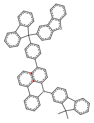 CC1(C)c2ccccc2-c2ccc(N(c3ccc(-c4ccc(C5(c6ccc7oc8ccccc8c7c6)c6ccccc6-c6ccccc65)cc4)cc3)c3ccccc3-c3ccccc3)cc21